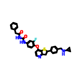 O=C(Cc1ccccc1)NC(=O)Nc1ccc(Oc2ccnc3c2SC(c2ccc(CNC4CC4)cc2)C3)c(F)c1